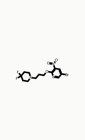 O=[N+]([O-])c1cc(Br)cnc1OCCCN1CCC(F)(F)CC1